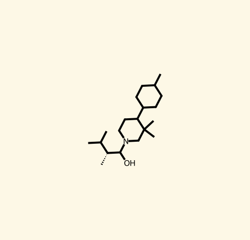 CC1CCC(C2CCN(C(O)[C@H](C)C(C)C)CC2(C)C)CC1